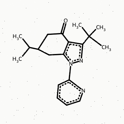 CC(C)C1CC(=O)c2c(C(C)(C)C)nn(-c3ccccn3)c2C1